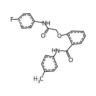 Cc1ccc(NC(=O)c2ccccc2OCC(=O)Nc2ccc(F)cc2)cc1